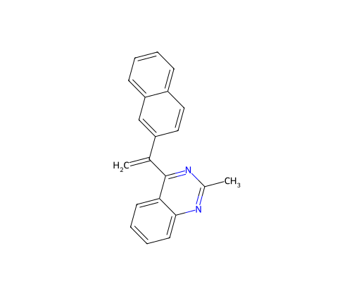 C=C(c1ccc2ccccc2c1)c1nc(C)nc2ccccc12